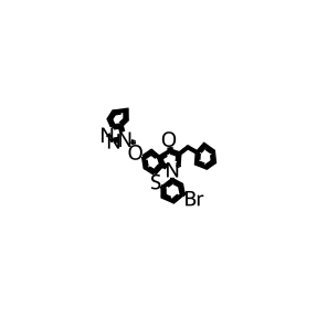 O=c1c(Cc2ccccc2)cn2c3c(cc(OCn4nnc5ccccc54)cc13)Sc1ccc(Br)cc1-2